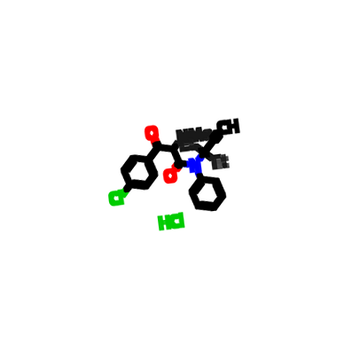 C#CC(CC)(CC)N(C(=O)C(NC)C(=O)c1ccc(Cl)cc1)c1ccccc1.Cl